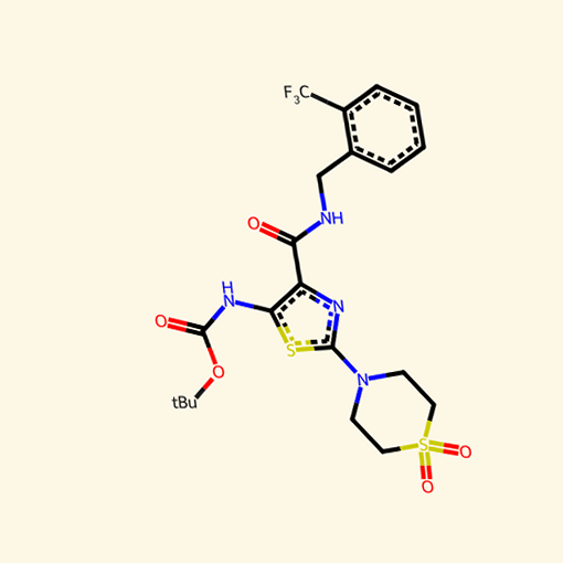 CC(C)(C)OC(=O)Nc1sc(N2CCS(=O)(=O)CC2)nc1C(=O)NCc1ccccc1C(F)(F)F